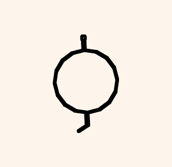 CC=C1CCCCCCCC(=O)CCCCCCC1